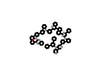 c1ccc(-c2cc(-c3ccccc3)cc(-n3c4ccncc4c4cnc(-c5ccc6c(c5)c5ccccc5n6-c5cc(-c6ccccc6)nc(-c6cccc7c(-c8cc(-c9cccc(-n%10c%11ccccc%11c%11cc(-c%12ccc%13c%14ccccc%14n(-c%14nc%15ccccc%15nc%14-c%14ccccc%14)c%13c%12)ccc%11%10)c9)nc9ccccc89)cccc67)n5)cc43)c2)cc1